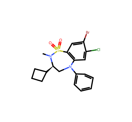 CN1[C@H](C2CCC2)CN(c2ccccc2)c2cc(Cl)c(Br)cc2S1(=O)=O